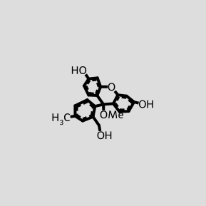 COC1(c2ccc(C)cc2CO)c2ccc(O)cc2Oc2cc(O)ccc21